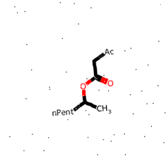 CCCCCC(C)OC(=O)CC(C)=O